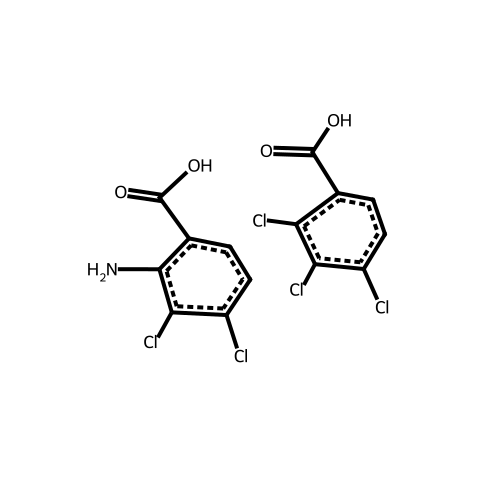 Nc1c(C(=O)O)ccc(Cl)c1Cl.O=C(O)c1ccc(Cl)c(Cl)c1Cl